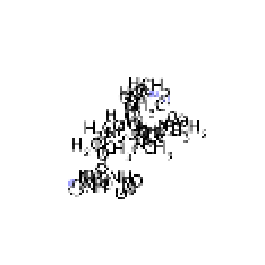 COc1cc2cc(c1Cl)N(C)C(=O)C[C@H](OC(=O)[C@H](C)N(C)C(=O)CCSC(=O)N(C)CCN(C)C(=O)OCc1ccc(OC(=O)N[C@H]3CCCC/C=C/[C@@H]3N)c(C(=O)NCCN3C(=O)C=CC3=O)c1)[C@]1(C)O[C@H]1[C@H](C)[C@@H]1C[C@@](O)(NC(=O)O1)[C@H](OC)/C=C/C=C(\C)C2